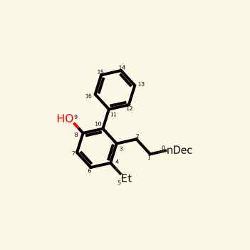 CCCCCCCCCCCCc1c(CC)ccc(O)c1-c1ccccc1